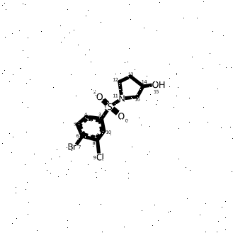 O=S(=O)(c1ccc(Br)c(Cl)c1)N1CCC(O)C1